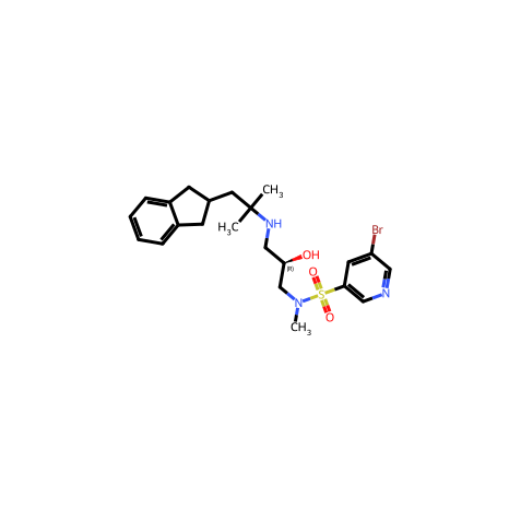 CN(C[C@H](O)CNC(C)(C)CC1Cc2ccccc2C1)S(=O)(=O)c1cncc(Br)c1